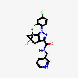 O=C(NCc1cccnc1)c1nn(-c2ccc(F)cc2F)c2c1C[C@H]1C[C@@H]21